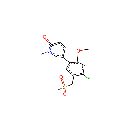 COc1cc(F)c(CS(C)(=O)=O)cc1-c1ccc(=O)n(C)c1